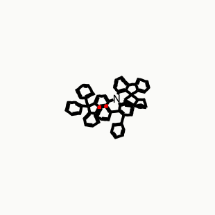 c1ccc(-c2cccc(N(c3ccc4c(c3)-c3ccccc3C4(c3ccccc3)c3ccccc3)c3cccc4c3C3(c5ccccc5-4)C4CC5CC(C4)C3C5)c2-c2ccccc2)cc1